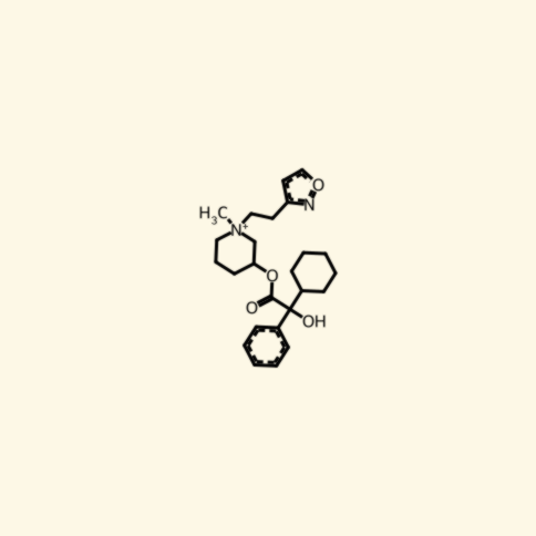 C[N+]1(CCc2ccon2)CCCC(OC(=O)C(O)(c2ccccc2)C2CCCCC2)C1